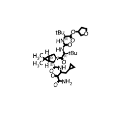 CC(C)(C)[C@H](NC(=O)N[C@H](C(=O)N1C[C@H]2[C@@H]([C@H]1C(=O)NC(CC1CC1)C(=O)C(N)=O)C2(C)C)C(C)(C)C)C(=O)OC1CCOC1